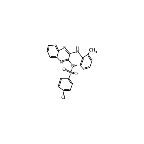 Cc1ccccc1Nc1nc2ccccc2nc1NS(=O)(=O)c1ccc(Cl)cc1